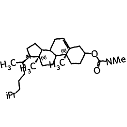 CNC(=O)OC1CC[C@@]2(C)C(=CCC3C2CC[C@@]2(C)C3CC[C@@H]2C(C)CCCC(C)C)C1